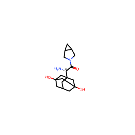 N[C@H](C(=O)N1CC2CC2C1)C12CC3CC(O)(CC(O)(C3)C1)C2